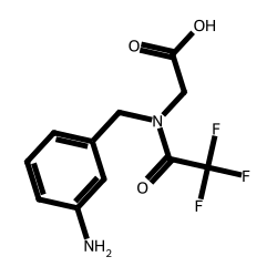 Nc1cccc(CN(CC(=O)O)C(=O)C(F)(F)F)c1